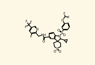 O=C(NCc1ncc(C(F)(F)F)cc1F)c1ccc2c(c1)C1(CCS(=O)(=O)CC1)C(C1CC1)N2S(=O)(=O)c1cccc(OC(F)F)c1